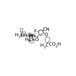 CC1(CNC(=O)[C@@H]2C3CCC(CC3)[C@@H]2NC(=O)c2cc(O[C@H]3CC[C@@](C)(C(=O)O)CC3)c(C#N)cc2F)CCC1